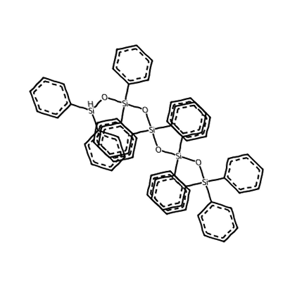 c1ccc([SiH](O[Si](O[Si](O[Si](O[Si](c2ccccc2)(c2ccccc2)c2ccccc2)(c2ccccc2)c2ccccc2)(c2ccccc2)c2ccccc2)(c2ccccc2)c2ccccc2)c2ccccc2)cc1